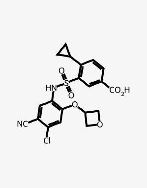 N#Cc1cc(NS(=O)(=O)c2cc(C(=O)O)ccc2C2CC2)c(OC2COC2)cc1Cl